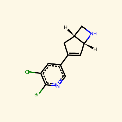 Clc1cc(C2=C[C@H]3NC[C@H]3C2)cnc1Br